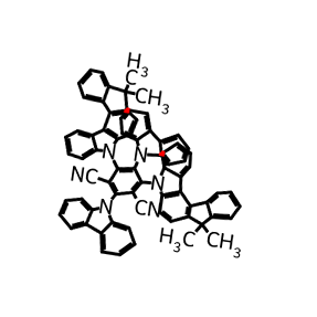 CC1(C)c2ccccc2-c2c1ccc1c2c2ccccc2n1-c1c(C#N)c(-n2c3ccccc3c3ccccc32)c(C#N)c(-n2c3ccccc3c3c4c(ccc32)C(C)(C)c2ccccc2-4)c1-n1c2ccccc2c2ccccc21